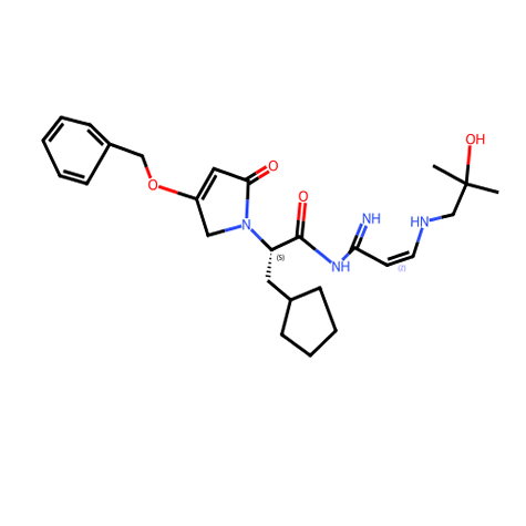 CC(C)(O)CN/C=C\C(=N)NC(=O)[C@H](CC1CCCC1)N1CC(OCc2ccccc2)=CC1=O